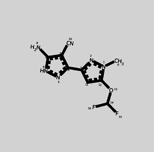 Cn1nc(-c2n[nH]c(N)c2C#N)cc1OC(F)F